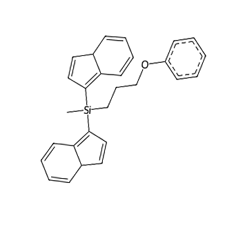 C[Si](CCCOc1ccccc1)(C1=C2C=CC=CC2C=C1)C1=C2C=CC=CC2C=C1